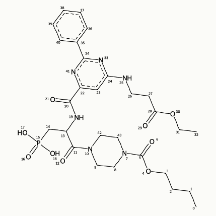 CCCCOC(=O)N1CCN(C(=O)C(CP(=O)(O)O)NC(=O)c2cc(NCCC(=O)OCC)nc(-c3ccccc3)n2)CC1